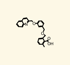 Cc1cccc(COCc2cccc(OCc3ccc4ccccc4n3)c2)c1C(=O)O